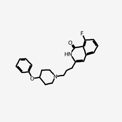 O=c1[nH]c(CCCN2CCC(Oc3ccccc3)CC2)cc2cccc(F)c12